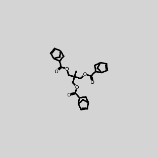 CC(COC(=O)C1CC2C=CC1C2)(COC(=O)C1CC2C=CC1C2)COC(=O)C1CC2C=CC1C2